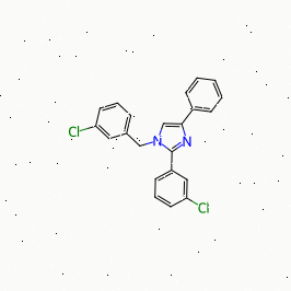 Clc1cccc(Cn2cc(-c3ccccc3)nc2-c2cccc(Cl)c2)c1